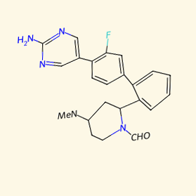 CNC1CCN(C=O)C(c2ccccc2-c2ccc(-c3cnc(N)nc3)c(F)c2)C1